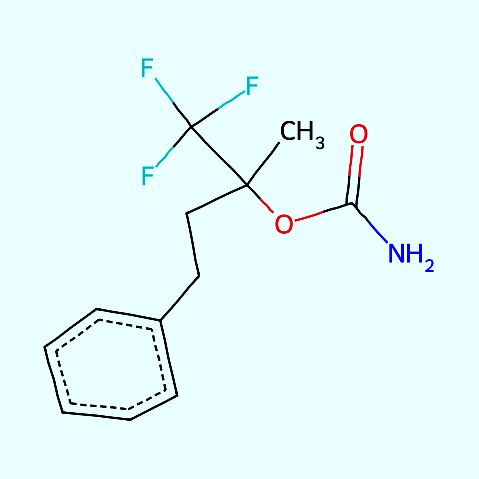 CC(CCc1ccccc1)(OC(N)=O)C(F)(F)F